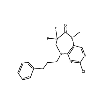 CN1C(=O)C(F)(F)CN(CCCc2ccccc2)c2nc(Cl)ncc21